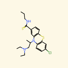 CCCNC(=S)c1ccc2c(c1)N(C(C)CN(CC)CC)c1ccc(Cl)cc1S2